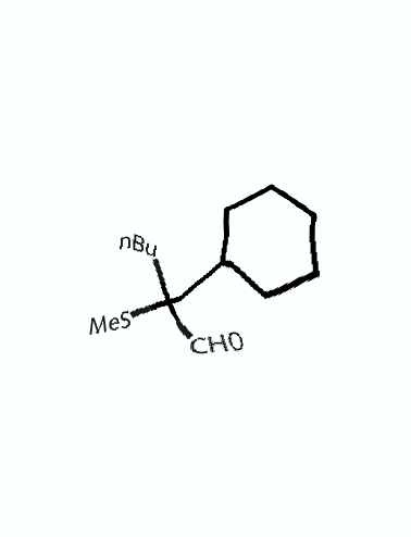 CCCCC(C=O)(SC)C1CCCCC1